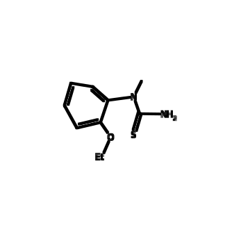 CCOc1ccccc1N(C)C(N)=S